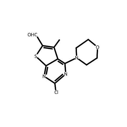 Cc1c(C=O)sc2nc(Cl)nc(N3CCOCC3)c12